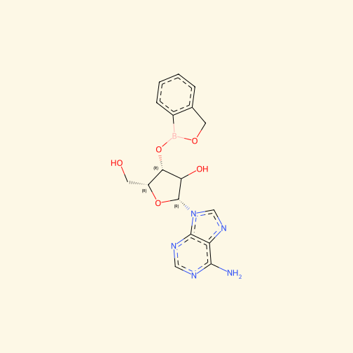 Nc1ncnc2c1ncn2[C@@H]1O[C@H](CO)[C@H](OB2OCc3ccccc32)C1O